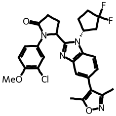 COc1ccc(N2C(=O)CCC2c2nc3cc(-c4c(C)noc4C)ccc3n2[C@@H]2CCC(F)(F)C2)cc1Cl